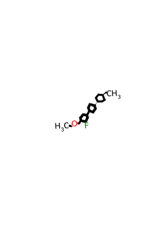 CCOCc1ccc(-c2ccc([C@H]3CC[C@H](CC)CC3)cc2)cc1F